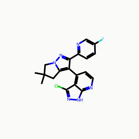 CC1(C)Cc2c(-c3ccnc4[nH]nc(Cl)c34)c(-c3ccc(F)cn3)nn2C1